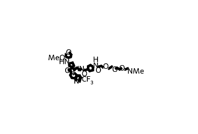 CNCCOCCOCCOCCC(=O)NC1CCC(C(=O)NCCCC2(C(=O)N3CCc4ncc(C(F)(F)F)cc4C3)CCC(NC3CCOCC3OC)C2)CC1